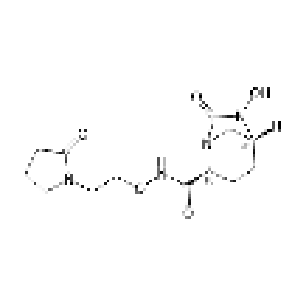 O=C(NOCCN1CCCC1=O)[C@@H]1CC[C@@H]2CN1C(=O)N2O